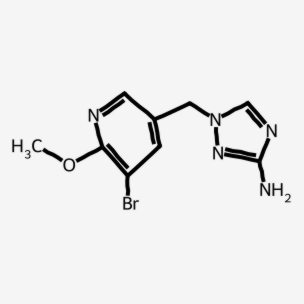 COc1ncc(Cn2cnc(N)n2)cc1Br